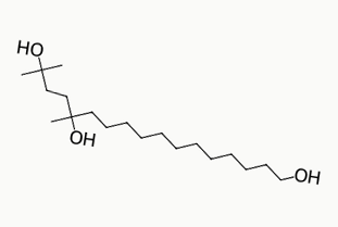 CC(C)(O)CCC(C)(O)CCCCCCCCCCCCO